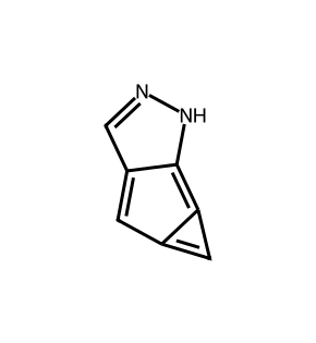 c1c2cc3cn[nH]c3c1-2